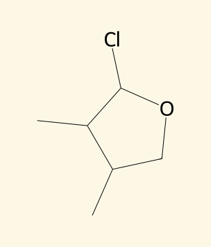 CC1COC(Cl)C1C